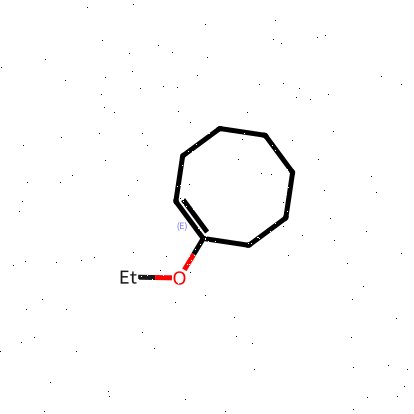 CCO/C1=C/CCCCCC1